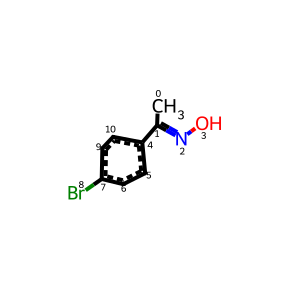 C/C(=N\O)c1ccc(Br)cc1